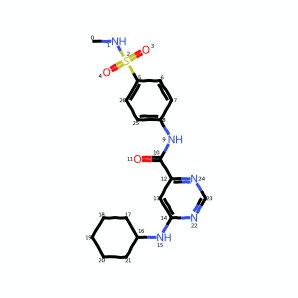 CNS(=O)(=O)c1ccc(NC(=O)c2cc(NC3CCCCC3)ncn2)cc1